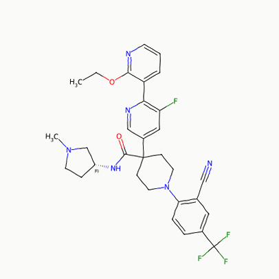 CCOc1ncccc1-c1ncc(C2(C(=O)N[C@@H]3CCN(C)C3)CCN(c3ccc(C(F)(F)F)cc3C#N)CC2)cc1F